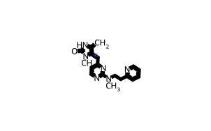 C=c1[nH]c(=O)n(C)/c1=C\c1ccnc(N(C)CCc2ccccn2)n1